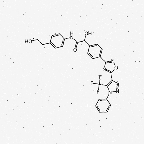 O=C(Nc1ccc(CCO)cc1)C(O)c1ccc(-c2noc(-c3cnn(-c4ccccc4)c3C(F)(F)F)n2)cc1